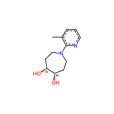 Cc1cccnc1N1CC[C@@H](O)[C@@H](O)CC1